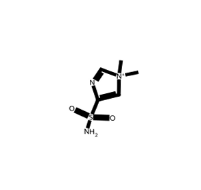 C[N+]1(C)C=NC(S(N)(=O)=O)=C1